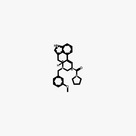 COc1cccc(CN2C[C@H](C(=O)N3CCCC3)C=C3c4cccc5[nH]cc(c45)C[C@H]32)c1